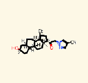 CC[C@@H]1C[C@H](C(=O)Cn2cc(C#N)cn2)[C@@]2(C)CC[C@H]3[C@@H](CC[C@@H]4C[C@](C)(O)CC[C@@H]43)[C@H]12